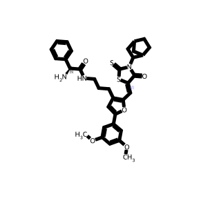 COc1cc(OC)cc(-c2cc(CCCNC(=O)[C@@H](N)c3ccccc3)c(/C=C3\SC(=S)N(C4CC5CCC4C5)C3=O)o2)c1